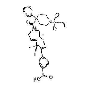 CCS(=O)(=O)N1CCC(C(=O)N2CC=C3C(C)(C)C(c4ccc(C(=O)O)cc4)=CC[C@]3(C)C2)(c2ccccc2)CC1